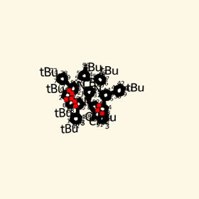 CC(C)(C)c1ccc(-c2cc(-c3ccc(C(C)(C)C)cc3)cc(N(c3cc4c5c(c3)N(c3cc(-c6ccc(C(C)(C)C)cc6)cc(-c6ccc(C(C)(C)C)cc6)c3)c3ccc(C(C)(C)C)cc3B5c3cc(C(C)(C)C)ccc3N4c3cc(-c4ccc(C(C)(C)C)cc4)cc(-c4ccc(C(C)(C)C)cc4)c3)c3ccc4c(c3)C(C)(C)c3ccccc3-4)c2)cc1